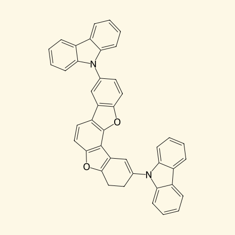 C1=C(n2c3ccccc3c3ccccc32)CCc2oc3ccc4c5cc(-n6c7ccccc7c7ccccc76)ccc5oc4c3c21